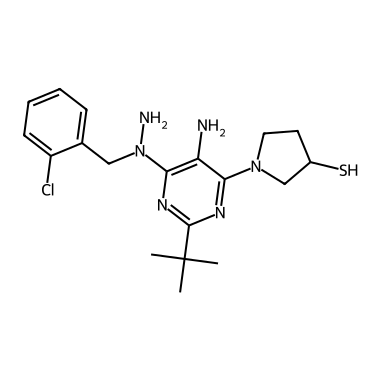 CC(C)(C)c1nc(N(N)Cc2ccccc2Cl)c(N)c(N2CCC(S)C2)n1